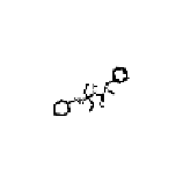 CCC(CC)(N=NC1CCCCC1)NC(=O)N(C)Cc1ccccc1